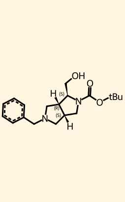 CC(C)(C)OC(=O)N1C[C@@H]2CN(Cc3ccccc3)C[C@@H]2[C@H]1CO